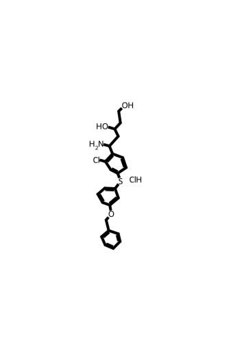 Cl.NC(CC(O)CCO)c1ccc(Sc2cccc(OCc3ccccc3)c2)cc1Cl